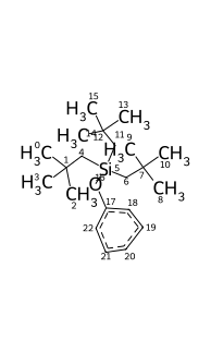 CC(C)(C)C[Si](CC(C)(C)C)(CC(C)(C)C)Oc1ccccc1